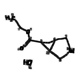 CCOC(=O)C1C2CNCC21.Cl